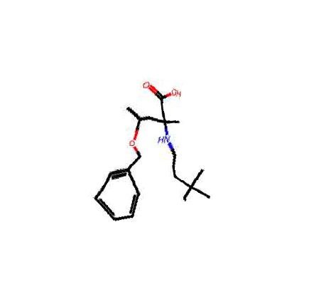 CC(OCc1ccccc1)C(C)(NCCC(C)(C)C)C(=O)O